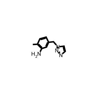 Cc1ccc(Cn2ccnn2)cc1N